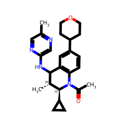 CC(=O)N1c2ccc(C3CCOCC3)cc2C(Nc2cnc(C)cn2)[C@@H](C)[C@@H]1C1CC1